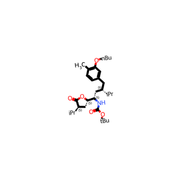 CCCCOc1cc(C[C@@H](C[C@H](NC(=O)OC(C)(C)C)[C@@H]2C[C@@H](C(C)C)C(=O)O2)C(C)C)ccc1C